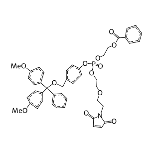 COc1ccc(C(OCc2ccc(OP(=O)(OCCOCCN3C(=O)C=CC3=O)OCCOC(=O)c3ccccc3)cc2)(c2ccccc2)c2ccc(OC)cc2)cc1